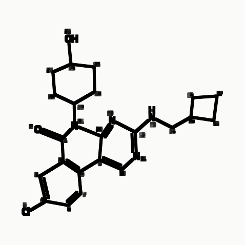 O=c1c2cc(Cl)ccc2c2cnc(NCC3CCC3)nc2n1C1CCC(O)CC1